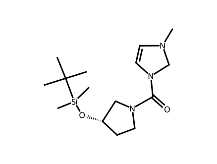 CN1C=CN(C(=O)N2CC[C@H](O[Si](C)(C)C(C)(C)C)C2)C1